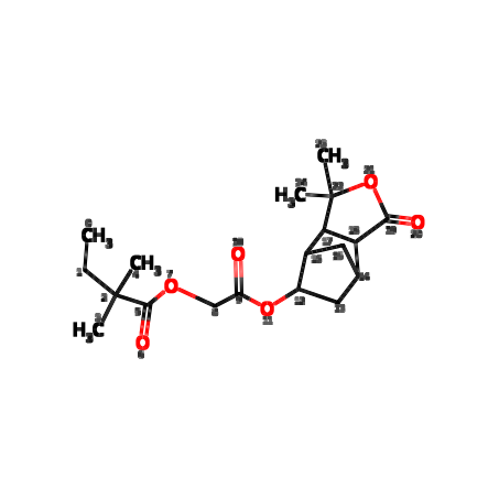 CCC(C)(C)C(=O)OCC(=O)OC1CC2CC1C1C2C(=O)OC1(C)C